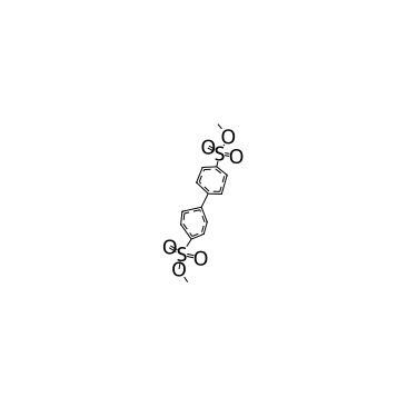 COS(=O)(=O)c1ccc(-c2ccc(S(=O)(=O)OC)cc2)cc1